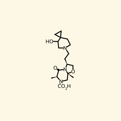 C[C@H]1C(=O)N2[C@@H](CCN3CCC4(CC4)C(O)C3)CO[C@]2(C)CN1C(=O)O